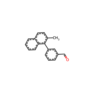 Cc1ccc2ccccc2c1-c1cccc(C=O)c1